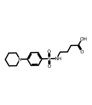 O=C(O)CCCNS(=O)(=O)c1ccc(N2CCCCC2)cc1